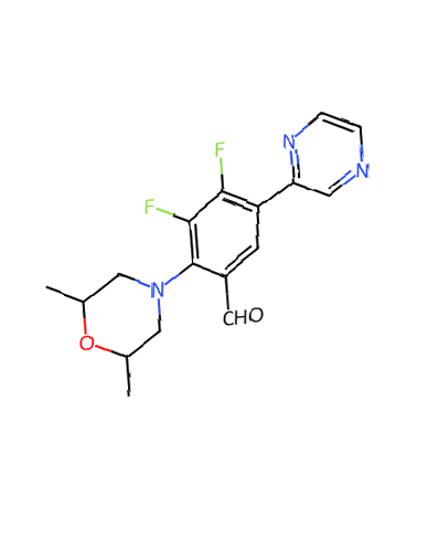 CC1CN(c2c(C=O)cc(-c3cnccn3)c(F)c2F)CC(C)O1